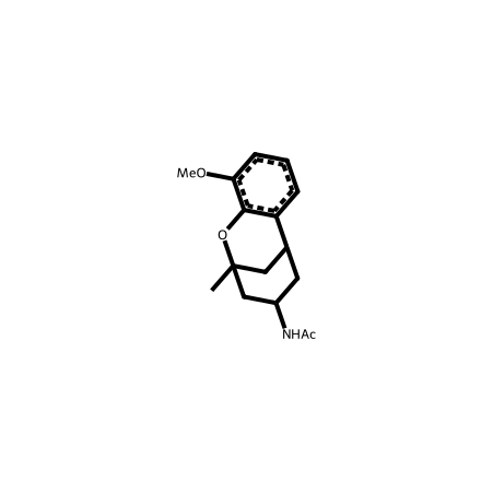 COc1cccc2c1OC1(C)CC(NC(C)=O)CC2C1